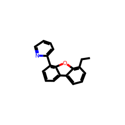 CCc1cccc2c1oc1c(-c3ccccn3)cccc12